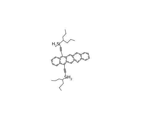 CCCC(CCC)[SiH2]C#Cc1c2ccccc2c(C#C[SiH2]C(CCC)CCC)c2cc3cc4ccccc4cc3cc12